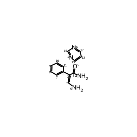 NC=C(C(N)=O)c1ccccc1.c1cncnc1